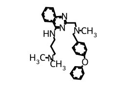 CN(C)CCCNc1nc(CN(C)Cc2ccc(Oc3ccccc3)cc2)nc2ccccc12